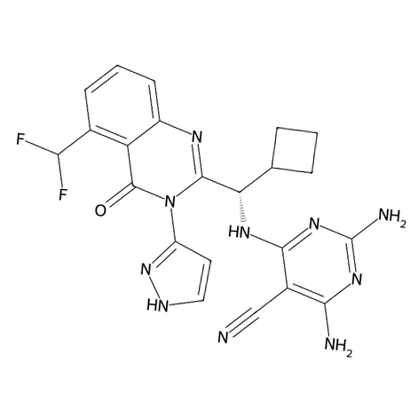 N#Cc1c(N)nc(N)nc1N[C@H](c1nc2cccc(C(F)F)c2c(=O)n1-c1cc[nH]n1)C1CCC1